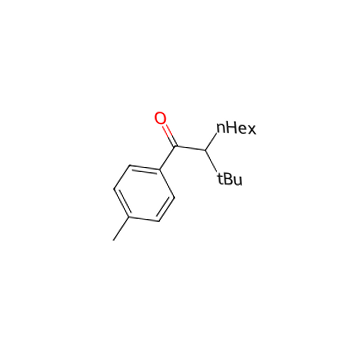 CCCCCCC(C(=O)c1ccc(C)cc1)C(C)(C)C